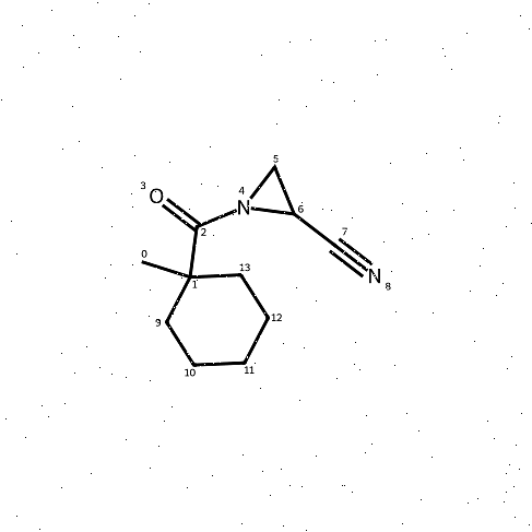 CC1(C(=O)N2CC2C#N)CCCCC1